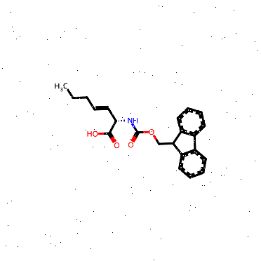 CCCC=C[C@H](NC(=O)OCC1c2ccccc2-c2ccccc21)C(=O)O